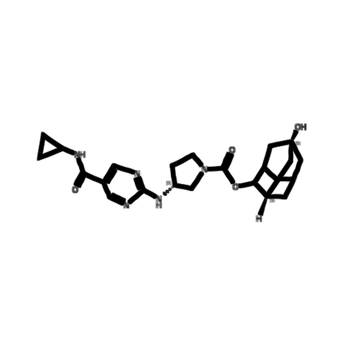 O=C(NC1CC1)c1cnc(N[C@@H]2CCN(C(=O)OC3C4CC5C[C@H]3C[C@@](O)(C5)C4)C2)nc1